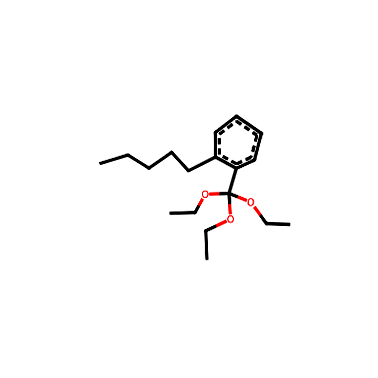 CCCCCc1ccccc1C(OCC)(OCC)OCC